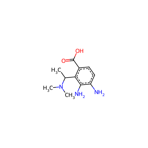 CC(c1c(C(=O)O)ccc(N)c1N)N(C)C